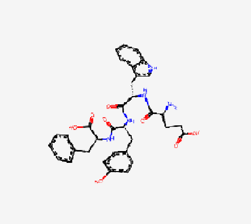 N[C@@H](CCC(=O)O)C(=O)N[C@@H](Cc1c[nH]c2ccccc12)C(=O)N[C@@H](Cc1ccc(O)cc1)C(=O)N[C@@H](Cc1ccccc1)C(=O)O